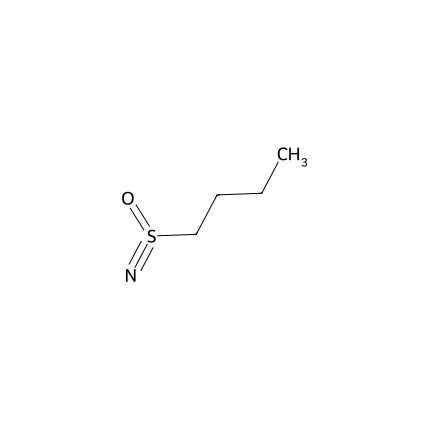 CCCCS(#N)=O